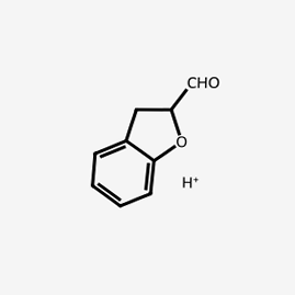 O=CC1Cc2ccccc2O1.[H+]